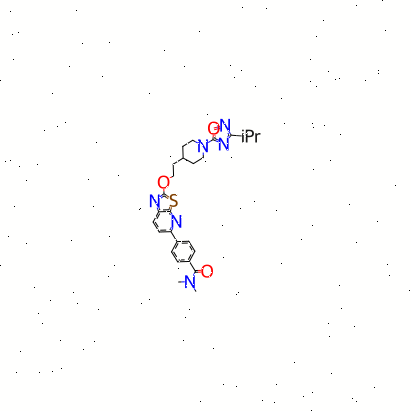 CC(C)c1noc(N2CCC(CCOc3nc4ccc(-c5ccc(C(=O)N(C)C)cc5)nc4s3)CC2)n1